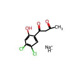 CC(=O)CC(=O)c1cc(Cl)c(Cl)cc1O.[H-].[Na+]